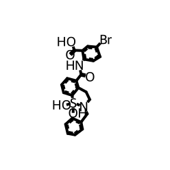 O=C(O)c1cc(Br)ccc1NC(=O)c1cccc2c1CCN(Cc1ccccc1)S2(O)O